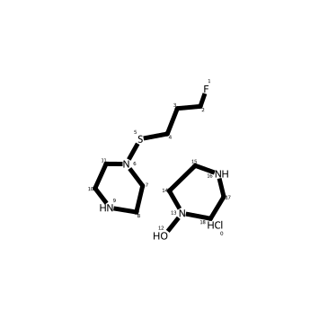 Cl.FCCCSN1CCNCC1.ON1CCNCC1